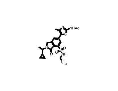 CC(=O)Nc1nc(C)c(-c2cc3c(c(S(=O)(=O)NCC(F)(F)F)c2)C(=O)N(C(C)C2CC2)C3)s1